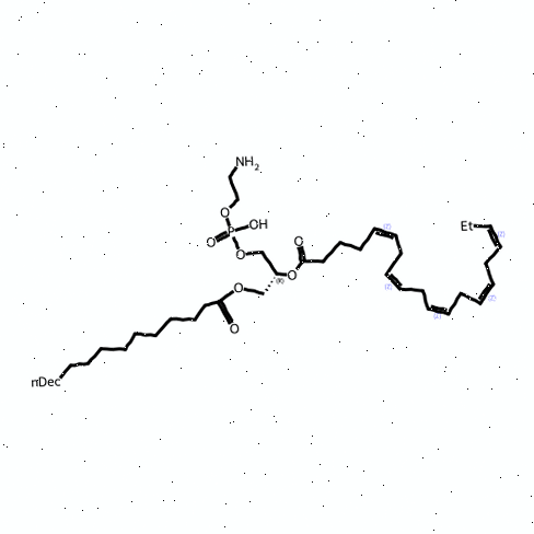 CC/C=C\C/C=C\C/C=C\C/C=C\C/C=C\CCCC(=O)O[C@H](COC(=O)CCCCCCCCCCCCCCCCCCC)COP(=O)(O)OCCN